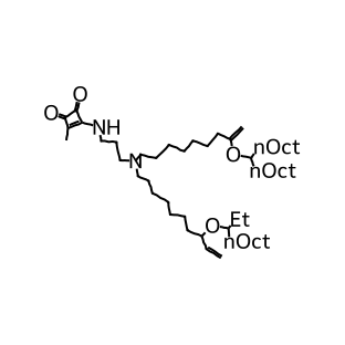 C=CC(CCCCCCCN(CCCCCCCC(=C)OC(CCCCCCCC)CCCCCCCC)CCCNc1c(C)c(=O)c1=O)OC(CC)CCCCCCCC